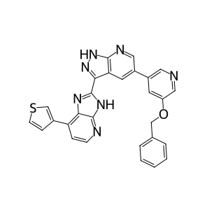 c1ccc(COc2cncc(-c3cnc4[nH]nc(-c5nc6c(-c7ccsc7)ccnc6[nH]5)c4c3)c2)cc1